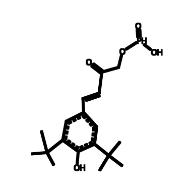 CC(C)(C)c1cc(C=CC(=O)CO[PH](=O)O)cc(C(C)(C)C)c1O